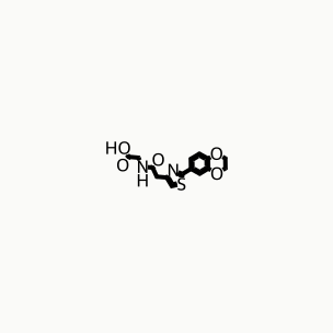 O=C(O)CNC(=O)Cc1csc(-c2ccc3c(c2)OCCO3)n1